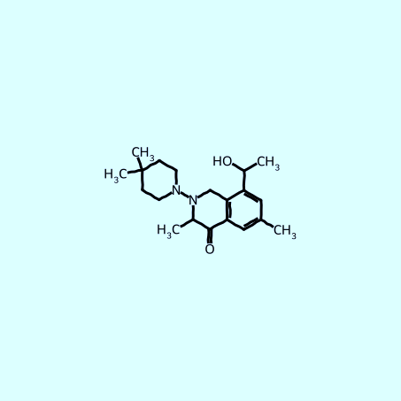 Cc1cc2c(c(C(C)O)c1)CN(N1CCC(C)(C)CC1)C(C)C2=O